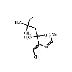 C/C=C(\N=C/SC)C(C)(C)CC(C)(C)C(C)C